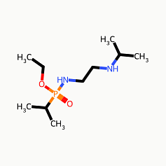 CCOP(=O)(NCCNC(C)C)C(C)C